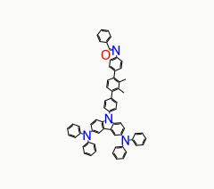 Cc1c(-c2ccc(-n3c4ccc(N(c5ccccc5)c5ccccc5)cc4c4cc(N(c5ccccc5)c5ccccc5)ccc43)cc2)ccc(-c2ccc3nc(-c4ccccc4)oc3c2)c1C